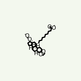 COCO[C@H]1CC[C@H]2[C@@H]3CC[C@H]4CC5(CC[C@]4(C)[C@H]3[C@@H](CCCCCCCCCC(=O)OC)C[C@]12C)OCCO5